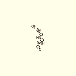 COc1cccc(C(=O)Nc2cccc(Nc3cccc(-n4cc(CCCO)nn4)c3)c2)c1